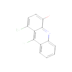 Oc1ccc(Br)c2c(Br)c3ccccc3nc12